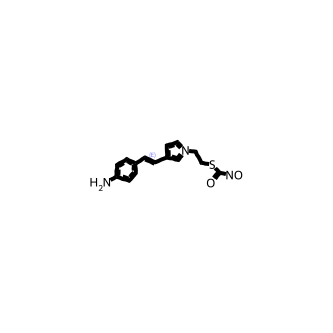 Nc1ccc(/C=C/c2ccn(CCSC(=O)N=O)c2)cc1